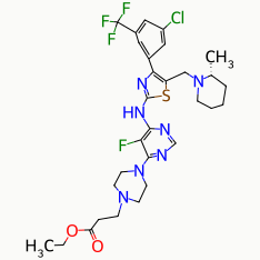 CCOC(=O)CCN1CCN(c2ncnc(Nc3nc(-c4cc(Cl)cc(C(F)(F)F)c4)c(CN4CCCC[C@H]4C)s3)c2F)CC1